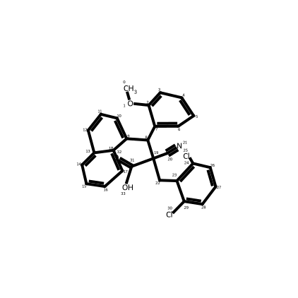 COc1ccccc1C(c1cccc2ccccc12)C(C#N)(Cc1c(Cl)cccc1Cl)C(=O)O